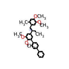 C=C/C(=C\c1cc(OC)c(OC)cc1C)c1cc(OC)c(OC)c(-c2ccc(-c3ccccc3)cc2)c1